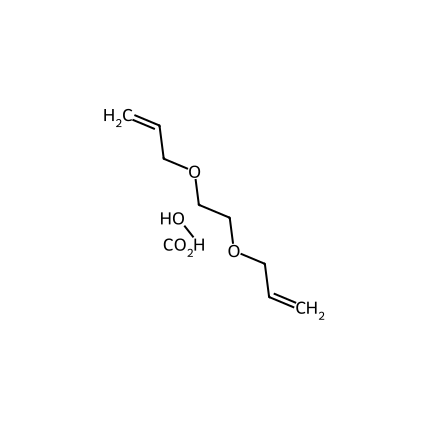 C=CCOCCOCC=C.O=C(O)O